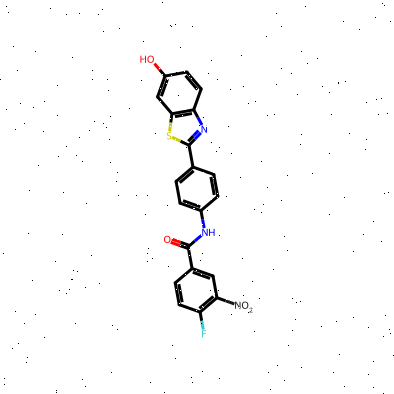 O=C(Nc1ccc(-c2nc3ccc(O)cc3s2)cc1)c1ccc(F)c([N+](=O)[O-])c1